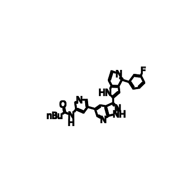 CCCCC(=O)Nc1cncc(-c2cnc3[nH]nc(-c4cc5c(-c6cccc(F)c6)nccc5[nH]4)c3c2)c1